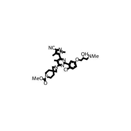 CNC[C@@H](O)COc1ccc(Cl)c(-c2nc(-c3c(C)c(C#N)nn3C)c(C)c(N3CC4(CCN(C(=O)OC)CC4)C3)n2)c1